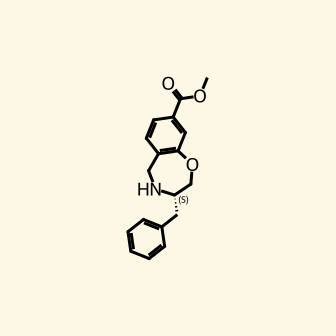 COC(=O)c1ccc2c(c1)OC[C@H](Cc1ccccc1)NC2